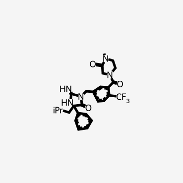 CC(C)CC1(c2ccccc2)NC(=N)N(Cc2ccc(C(F)(F)F)c(C(=O)N3CCN(C)C(=O)C3)c2)C1=O